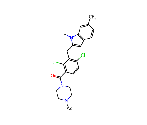 CC(=O)N1CCN(C(=O)c2ccc(Cl)c(Cc3cc4ccc(C(F)(F)F)cc4n3C)c2Cl)CC1